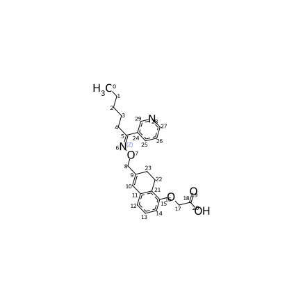 CCCCC/C(=N/OCC1=Cc2cccc(OCC(=O)O)c2CC1)c1cccnc1